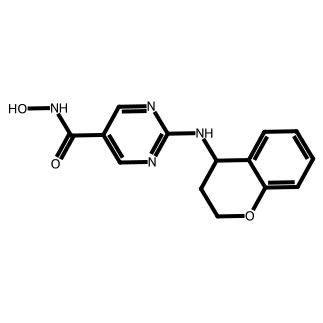 O=C(NO)c1cnc(NC2CCOc3ccccc32)nc1